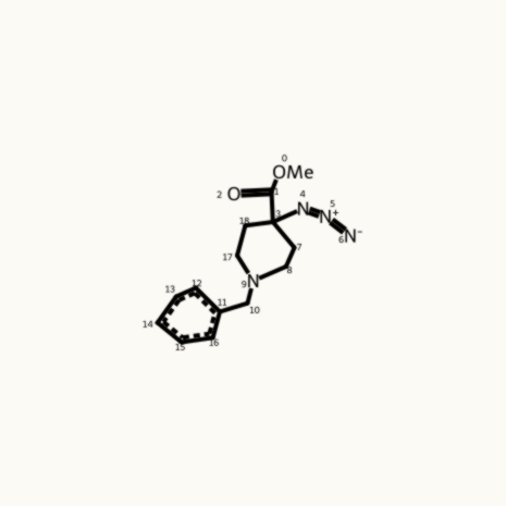 COC(=O)C1(N=[N+]=[N-])CCN(Cc2ccccc2)CC1